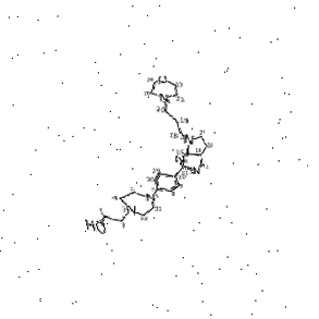 OCCN1CCN(c2ccc(-c3ncc4c(n3)N(CCCN3CCOCC3)CC4)cc2)CC1